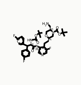 CC(C)(C)OC(=O)N[C@H](C(=O)Nc1cncc(F)c1CC[C@@H]1CN(C(=O)OC(C)(C)C)[C@H](CN)CO1)C(c1ccc(F)cc1)c1ccc(F)cc1